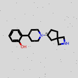 Oc1ccccc1C1CCN([C@@H]2CCC3(CNC3)C2)CC1